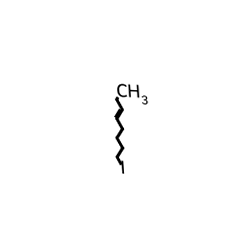 CC/C=C/CCCCI